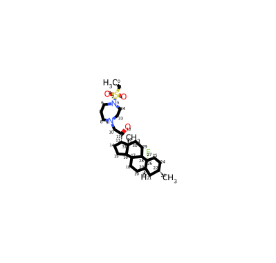 CCS(=O)(=O)N1CCCN(CC(=O)[C@H]2CCC3C4CC[C@@H]5C[C@@H](C)CC[C@]5(F)C4CC[C@@]32C)CC1